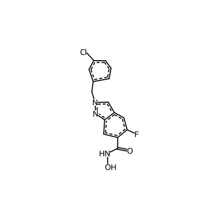 O=C(NO)c1cc2nn(Cc3cccc(Cl)c3)cc2cc1F